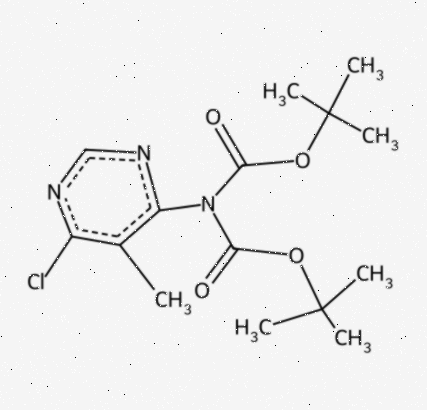 Cc1c(Cl)ncnc1N(C(=O)OC(C)(C)C)C(=O)OC(C)(C)C